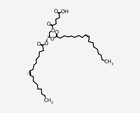 CCCCCCCC/C=C\CCCCCCCC(=O)OC[C@H](COC(=O)CCCC(=O)O)OC(=O)CCCCCCC/C=C\CCCCCCCC